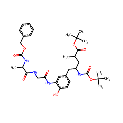 CC(CC(Cc1ccc(O)c(NC(=O)CNC(=O)C(C)NC(=O)OCc2ccccc2)c1)NC(=O)OC(C)(C)C)C(=O)OC(C)(C)C